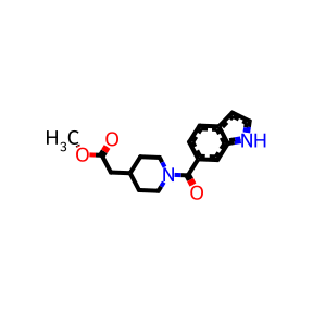 COC(=O)CC1CCN(C(=O)c2ccc3cc[nH]c3c2)CC1